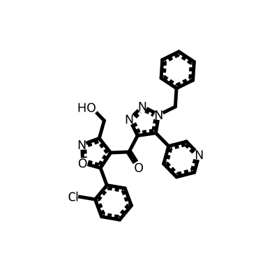 O=C(c1nnn(Cc2ccccc2)c1-c1cccnc1)c1c(CO)noc1-c1ccccc1Cl